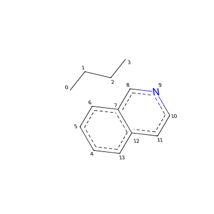 CCCC.c1ccc2cnccc2c1